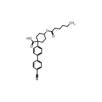 CCCCCC(=O)OC1CCC(C(=O)O)(c2ccc(-c3ccc(C#N)cc3)cc2)CC1